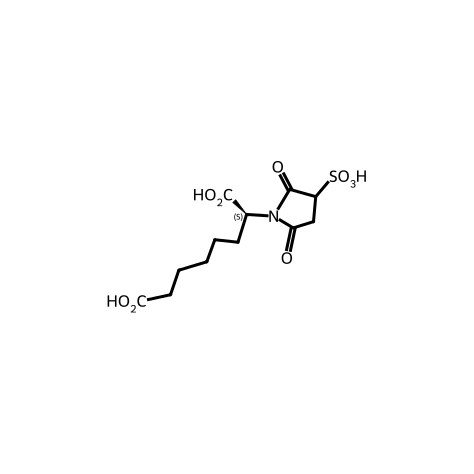 O=C(O)CCCCC[C@@H](C(=O)O)N1C(=O)CC(S(=O)(=O)O)C1=O